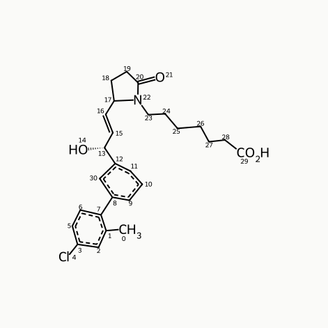 Cc1cc(Cl)ccc1-c1cccc([C@H](O)C=CC2CCC(=O)N2CCCCCCC(=O)O)c1